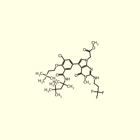 COC(=O)Cn1cc(-c2cc(Cl)c(OCCS(C)(C)C)c(C(=O)NC(C)(C)CC(C)(C)C)c2)c2c(=O)n(C)c(NCCC(F)(F)F)nc21